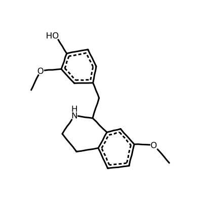 COc1ccc2c(c1)C(Cc1ccc(O)c(OC)c1)NCC2